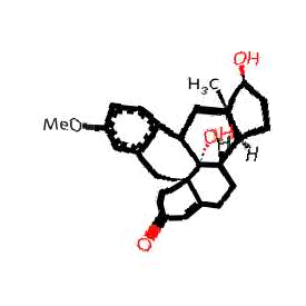 COc1ccc2c(c1)C[C@]13CCC(=O)C=C1CC[C@H]1[C@@H]4CC[C@H](O)[C@@]4(C)CC2[C@@]13O